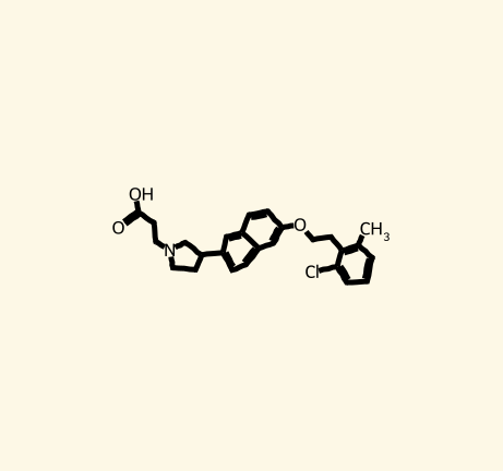 Cc1cccc(Cl)c1CCOc1ccc2cc(C3CCN(CCC(=O)O)C3)ccc2c1